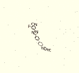 CCCCCCCCCC[C@H]1CC[C@H](c2ccc(-c3cnc(-c4ccc(C#N)c(F)c4)nc3)cc2)CC1